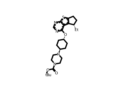 CC[C@H]1CCc2sc3ncnc(O[C@H]4CC[C@H](N5CCN(C(=O)OC(C)(C)C)CC5)CC4)c3c21